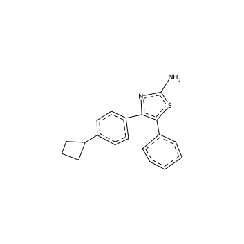 Nc1nc(-c2ccc(C3CCC3)cc2)c(-c2ccccc2)s1